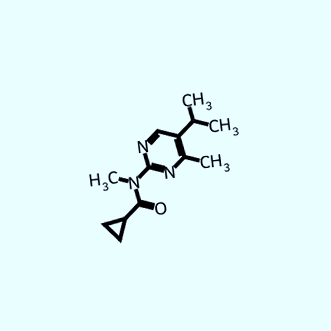 Cc1nc(N(C)C(=O)C2CC2)ncc1C(C)C